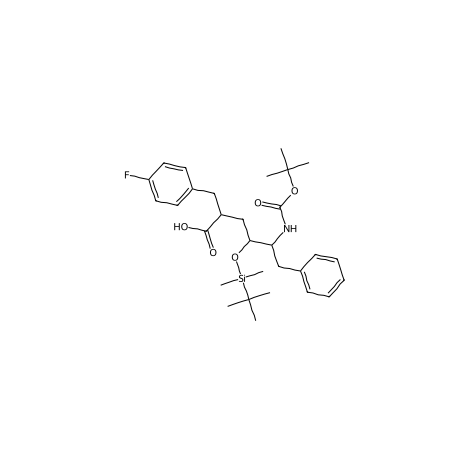 CC(C)(C)OC(=O)NC(Cc1ccccc1)C(CC(Cc1ccc(F)cc1)C(=O)O)O[Si](C)(C)C(C)(C)C